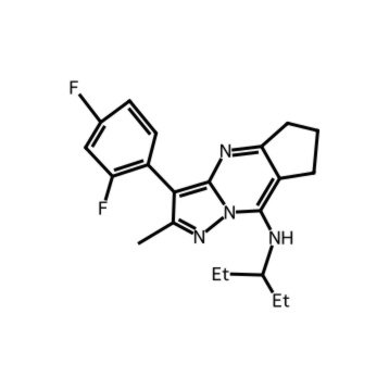 CCC(CC)Nc1c2c(nc3c(-c4ccc(F)cc4F)c(C)nn13)CCC2